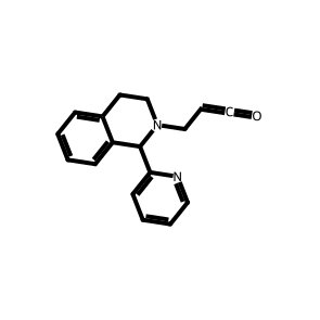 O=C=CCN1CCc2ccccc2C1c1ccccn1